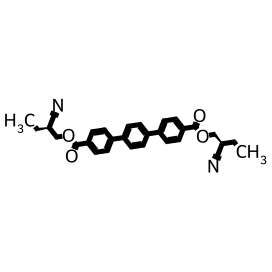 CC[C@@H](C#N)COC(=O)c1ccc(-c2ccc(-c3ccc(C(=O)OC[C@H](C#N)CC)cc3)cc2)cc1